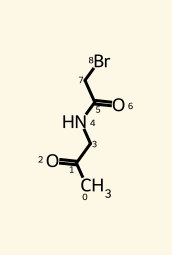 CC(=O)CNC(=O)CBr